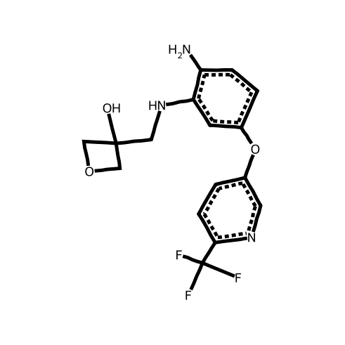 Nc1ccc(Oc2ccc(C(F)(F)F)nc2)cc1NCC1(O)COC1